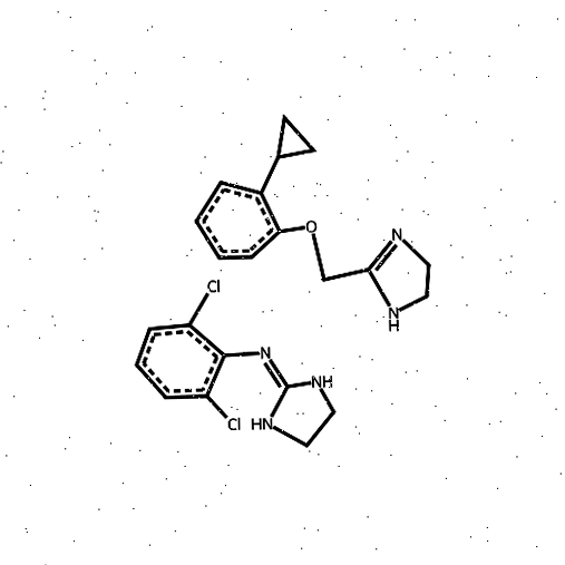 Clc1cccc(Cl)c1N=C1NCCN1.c1ccc(C2CC2)c(OCC2=NCCN2)c1